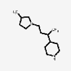 CC1CCN(CCC(C)C2CCNCC2)C1